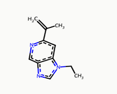 C=C(C)c1cc2c(cn1)ncn2CC